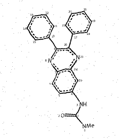 CNC(=O)Nc1ccc2nc(-c3ccccc3)c(-c3ccccc3)nc2c1